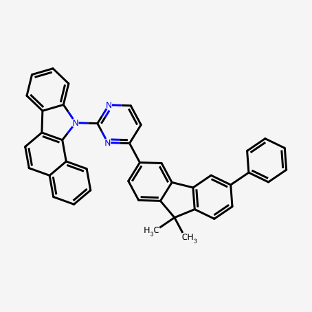 CC1(C)c2ccc(-c3ccccc3)cc2-c2cc(-c3ccnc(-n4c5ccccc5c5ccc6ccccc6c54)n3)ccc21